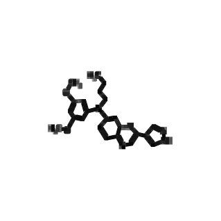 CCCCN(c1cc(OC)cc(OC)c1)c1ccc2ncc(-c3cn[nH]c3)nc2c1